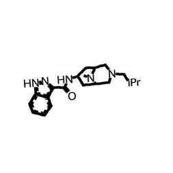 CC(C)CN1CC2CC(NC(=O)c3n[nH]c4ccccc34)CC(C1)N2C